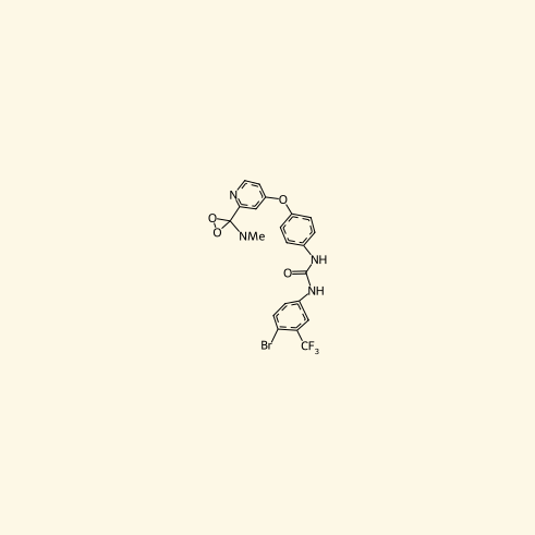 CNC1(c2cc(Oc3ccc(NC(=O)Nc4ccc(Br)c(C(F)(F)F)c4)cc3)ccn2)OO1